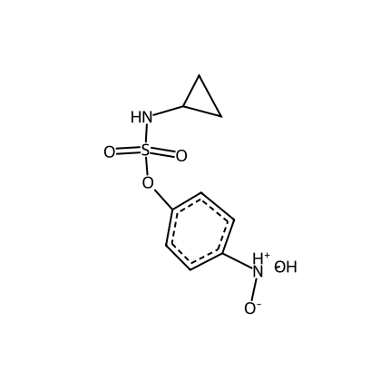 O=S(=O)(NC1CC1)Oc1ccc([NH+]([O-])O)cc1